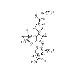 N[C@@H]1C(=O)N2C(C(=O)O)=C(/C=C3\CCN(C4CCN(C(=O)CCC(=O)O)CC4)C3=O)CS[C@H]12.O=C(O)C(F)(F)F